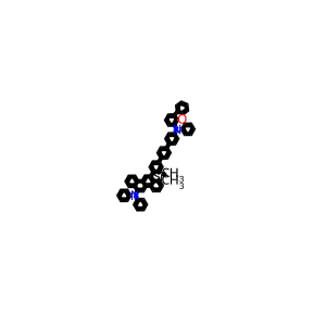 C[Si]1(C)c2cc(-c3ccc(-c4ccc(N(c5ccccc5)c5cccc6c5oc5ccccc56)cc4)cc3)ccc2-c2cc3c4ccccc4c(N(c4ccccc4)c4ccccc4)cc3c3cccc1c23